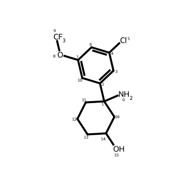 NC1(c2cc(Cl)cc(OC(F)(F)F)c2)CCCC(O)C1